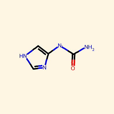 NC(=O)[N]c1c[nH]cn1